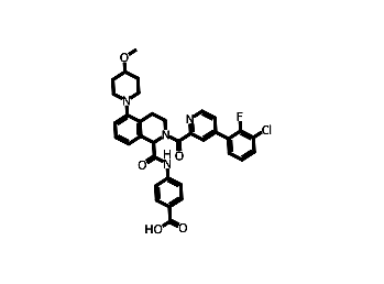 COC1CCN(c2cccc3c2CCN(C(=O)c2cc(-c4cccc(Cl)c4F)ccn2)C3C(=O)Nc2ccc(C(=O)O)cc2)CC1